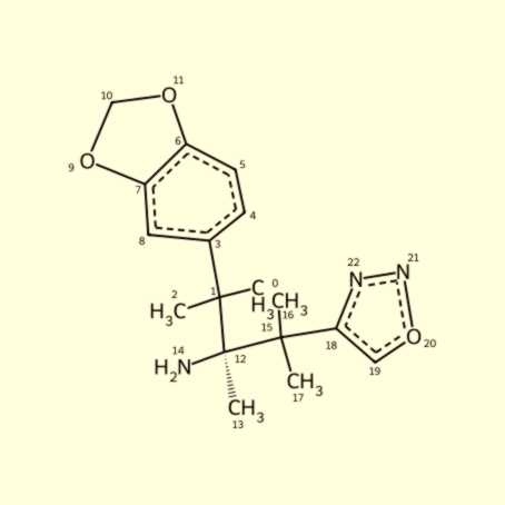 CC(C)(c1ccc2c(c1)OCO2)[C@](C)(N)C(C)(C)c1conn1